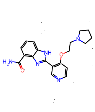 NC(=O)c1cccc2[nH]c(-c3cnccc3OCCN3CCCC3)nc12